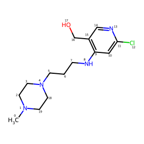 CN1CCN(CCCNc2cc(Cl)ncc2CO)CC1